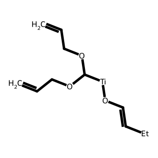 C=CCO[CH](OCC=C)[Ti][O]C=CCC